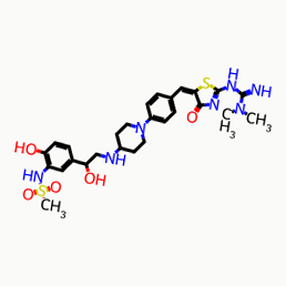 CN(C)C(=N)NC1=NC(=O)/C(=C\c2ccc(N3CCC(NCC(O)c4ccc(O)c(NS(C)(=O)=O)c4)CC3)cc2)S1